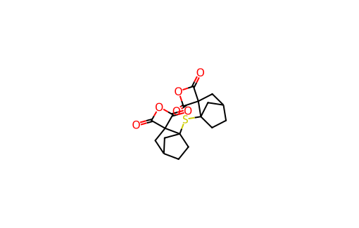 O=C1OC(=O)C12CC1CCC2(SC23CCC(C2)CC32C(=O)OC2=O)C1